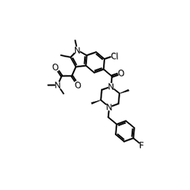 Cc1c(C(=O)C(=O)N(C)C)c2cc(C(=O)N3C[C@H](C)N(Cc4ccc(F)cc4)C[C@@H]3C)c(Cl)cc2n1C